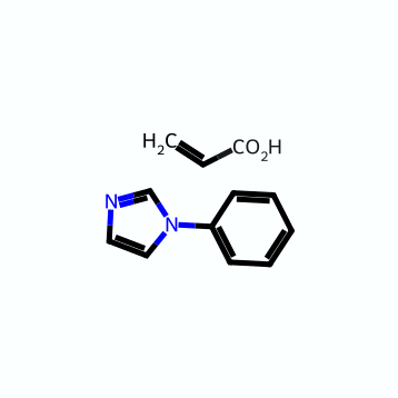 C=CC(=O)O.c1ccc(-n2ccnc2)cc1